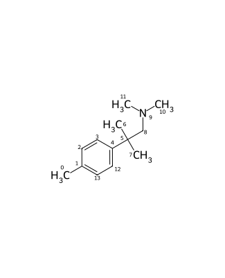 Cc1ccc(C(C)(C)CN(C)C)cc1